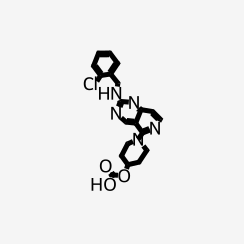 O=C(O)OC1CCN(c2nccc3nc(NCc4ccccc4Cl)ncc23)CC1